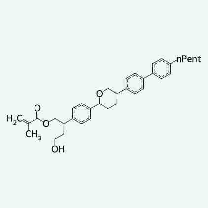 C=C(C)C(=O)OCC(CCO)c1ccc(C2CCC(c3ccc(-c4ccc(CCCCC)cc4)cc3)CO2)cc1